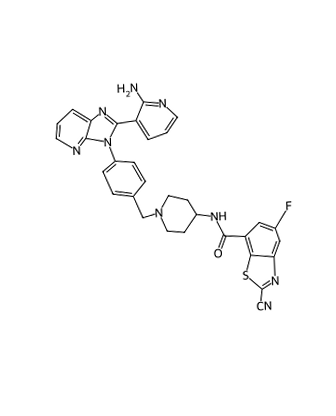 N#Cc1nc2cc(F)cc(C(=O)NC3CCN(Cc4ccc(-n5c(-c6cccnc6N)nc6cccnc65)cc4)CC3)c2s1